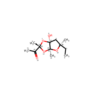 CC[C@]1(C)C[C@]2(O)O[C@@](C)(C(C)=O)O[C@]2(C)O1